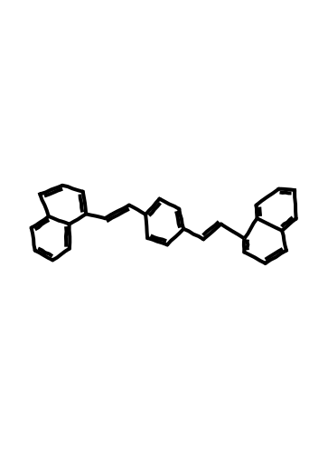 C(=C\c1cccc2ccccc12)/c1ccc(/C=C/c2cccc3ccccc23)cc1